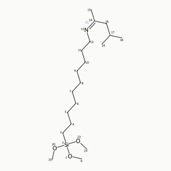 CO[Si](CCCCCCCCCC/N=C(/C)CC(C)C)(OC)OC